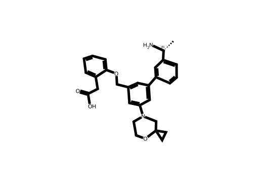 C[C@@H](N)c1cccc(-c2cc(COc3ccccc3CC(=O)O)cc(N3CCOC4(CC4)C3)c2)c1